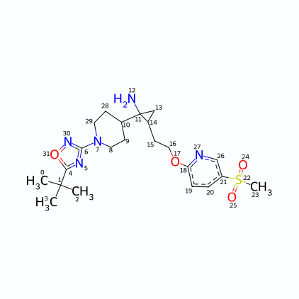 CC(C)(C)c1nc(N2CCC(C3(N)CC3CCOc3ccc(S(C)(=O)=O)cn3)CC2)no1